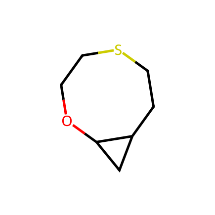 C1CSCCC2CC2O1